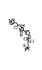 Cn1ncc(CC(=O)Nc2cc([C@H]3CC[C@@H](OC(=O)NCCC(F)(F)F)C3)[nH]n2)n1